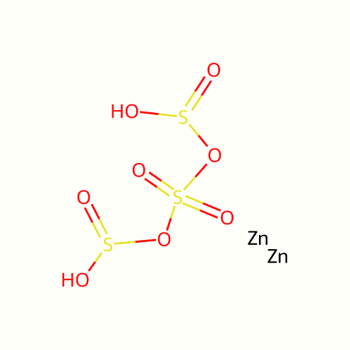 O=S(O)OS(=O)(=O)OS(=O)O.[Zn].[Zn]